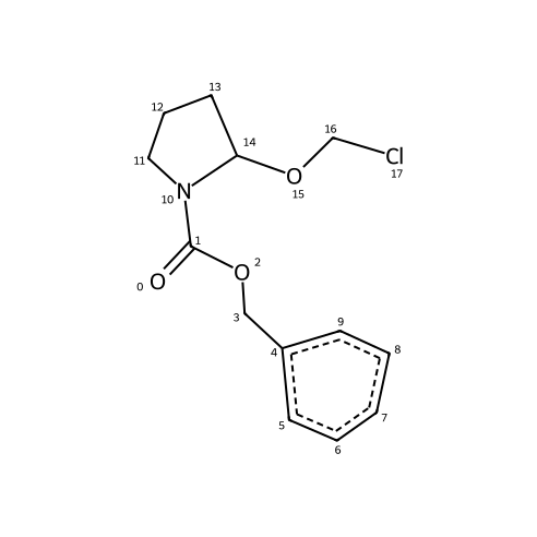 O=C(OCc1ccccc1)N1CCCC1OCCl